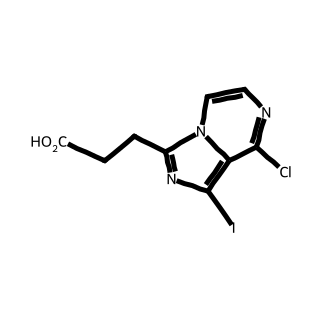 O=C(O)CCc1nc(I)c2c(Cl)nccn12